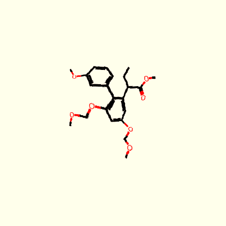 CCC(C(=O)OC)c1cc(OCOC)cc(OCOC)c1-c1cccc(OC)c1